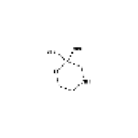 CCCCC1(CCCC)CNCCO1